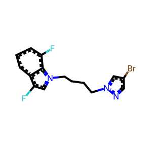 Fc1cn(CCCCn2cc(Br)cn2)c2c(F)cccc12